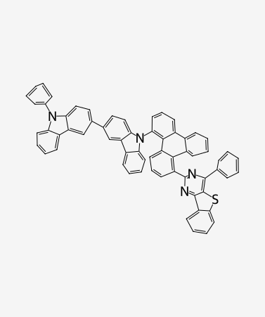 c1ccc(-c2nc(-c3cccc4c3c3ccccc3c3cccc(-n5c6ccccc6c6cc(-c7ccc8c(c7)c7ccccc7n8-c7ccccc7)ccc65)c34)nc3c2sc2ccccc23)cc1